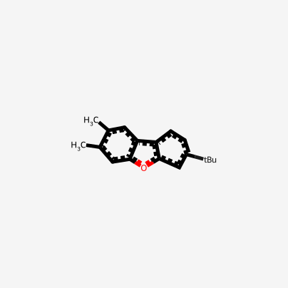 Cc1cc2oc3cc(C(C)(C)C)ccc3c2cc1C